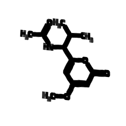 COc1cc(C(NC(C)=O)C(C)C)oc(=O)c1